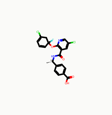 C[C@H](NC(=O)c1cc(Cl)cnc1OC1(F)C=CC=C(Cl)C1)c1ccc(C(=O)O)cc1